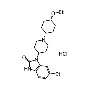 CCO[C@H]1CC[C@H](N2CCC(n3c(=O)[nH]c4ccc(CC)cc43)CC2)CC1.Cl